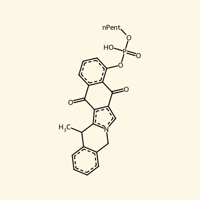 CCCCCOP(=O)(O)Oc1cccc2c1C(=O)c1cn3c(c1C2=O)C(C)c1ccccc1C3